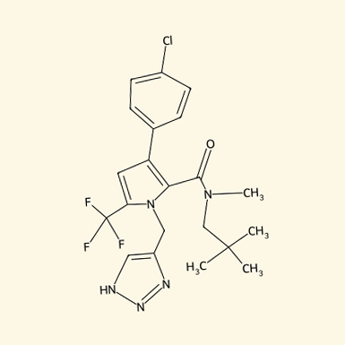 CN(CC(C)(C)C)C(=O)c1c(-c2ccc(Cl)cc2)cc(C(F)(F)F)n1Cc1c[nH]nn1